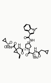 C=CC1CC1(NC(=O)[C@@H]1C[C@@H](NC(=O)c2cn(C)c3ccccc23)CN1C(=O)[C@@H](NC(=O)CC1CC1)C(C)(C)C)C(=O)NS(=O)(=O)C1CC1